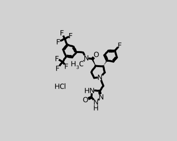 CN(Cc1cc(C(F)(F)F)cc(C(F)(F)F)c1)C(=O)[C@@H]1CCN(Cc2n[nH]c(=O)[nH]2)C[C@H]1c1ccc(F)cc1.Cl